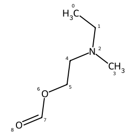 CCN(C)CCOC=O